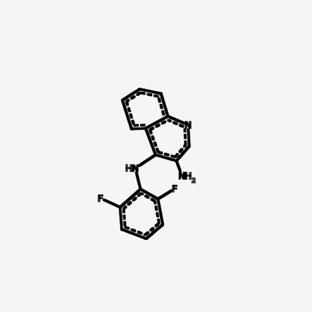 Nc1cnc2ccccc2c1Nc1c(F)cccc1F